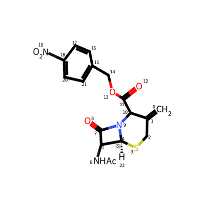 C=C1CS[C@H]2C(NC(C)=O)C(=O)N2C1C(=O)OCc1ccc([N+](=O)[O-])cc1